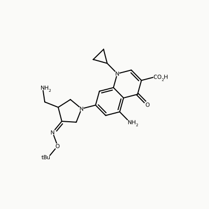 CC(C)(C)O/N=C1\CN(c2cc(N)c3c(=O)c(C(=O)O)cn(C4CC4)c3c2)CC1CN